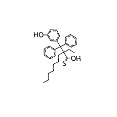 CCCCCCCC(CC)(C(O)=S)C(c1ccccc1)(c1ccccc1)c1cccc(O)c1